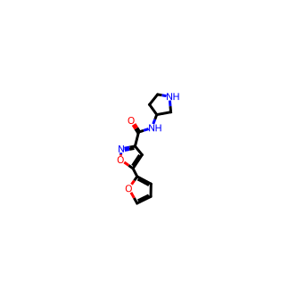 O=C(NC1CCNC1)c1cc(-c2ccco2)on1